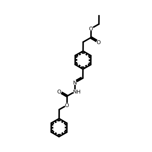 CCOC(=O)Cc1ccc(C=NNC(=O)OCc2ccccc2)cc1